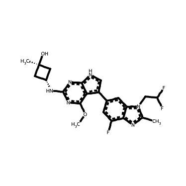 COc1nc(N[C@H]2C[C@](C)(O)C2)nc2[nH]cc(-c3cc(F)c4nc(C)n(CC(F)F)c4c3)c12